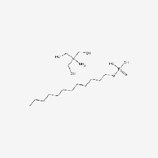 CCCCCCCCCCCCOP(=O)(O)O.NC(CO)(CO)CO